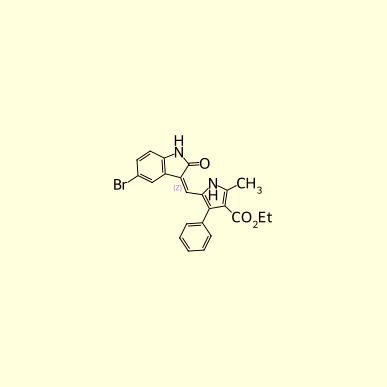 CCOC(=O)c1c(C)[nH]c(/C=C2\C(=O)Nc3ccc(Br)cc32)c1-c1ccccc1